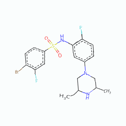 CC1CN(c2ccc(F)c(NS(=O)(=O)c3ccc(Br)c(F)c3)c2)CC(C)N1